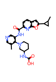 Cc1cncc(NC(=O)c2ccc3cc(C4CC4C)oc3n2)c1N1CCCC(NC(=O)O)C1